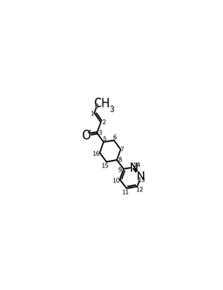 C/C=C/C(=O)C1CCC(c2cccnn2)CC1